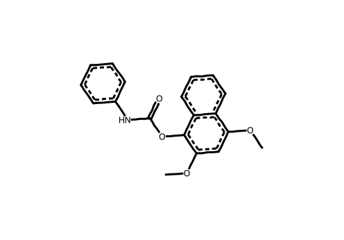 COc1cc(OC)c2ccccc2c1OC(=O)Nc1ccccc1